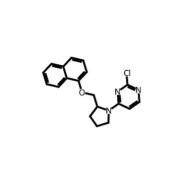 Clc1nccc(N2CCCC2COc2cccc3ccccc23)n1